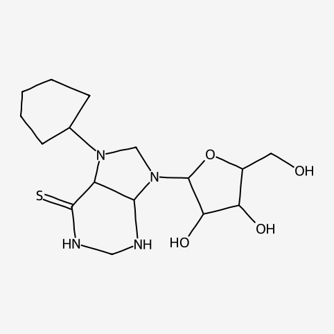 OCC1OC(N2CN(C3CCCCC3)C3C(=S)NCNC32)C(O)C1O